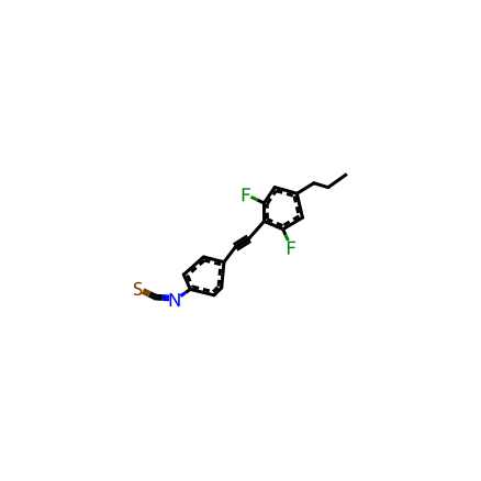 CCCc1cc(F)c(C#Cc2ccc(N=C=S)cc2)c(F)c1